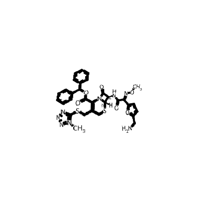 CON=C(C(=O)N[C@@H]1C(=O)N2C(C(=O)OC(c3ccccc3)c3ccccc3)=C(CSc3nnnn3C)CS[C@@H]12)c1ccc(CN)o1